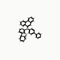 c1ccc(-c2ccc(N(c3cc4ccccc4c4ccccc34)c3nccc4c3oc3ccccc34)cc2)cc1